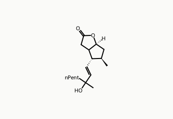 CCCCCC(C)(O)/C=C/[C@@H]1C2CC(=O)O[C@H]2C[C@H]1C